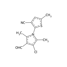 Cc1cc(C#N)c(-n2c(C)c(Cl)c(C=O)c2C)s1